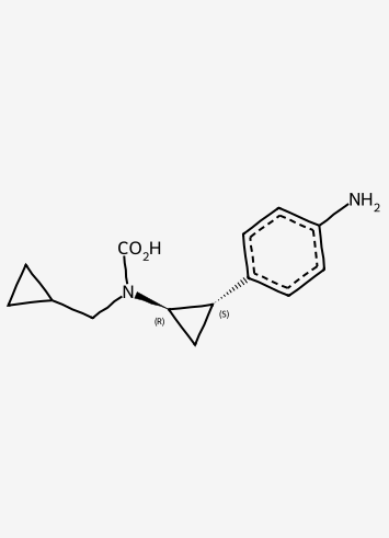 Nc1ccc([C@@H]2C[C@H]2N(CC2CC2)C(=O)O)cc1